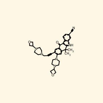 CC1(C)c2cc(N3CCN(C4COC4)CC3)c(C#CCN3CCN(C4COC4)CC3)cc2C(=O)c2c1[nH]c1cc(C#N)ccc21